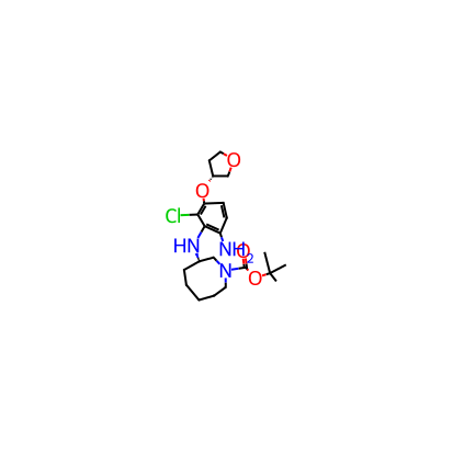 CC(C)(C)OC(=O)N1CCCCC[C@@H](Nc2c(N)ccc(O[C@@H]3CCOC3)c2Cl)C1